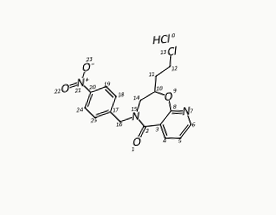 Cl.O=C1c2cccnc2OC(CCCl)CN1Cc1ccc([N+](=O)[O-])cc1